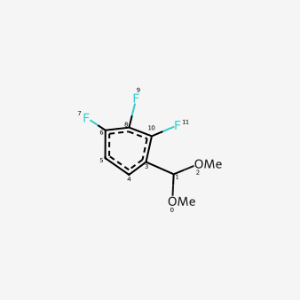 COC(OC)c1ccc(F)c(F)c1F